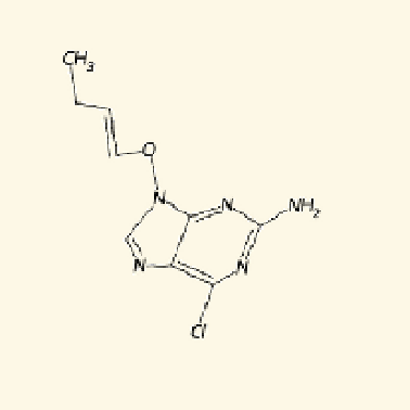 CCC=COn1cnc2c(Cl)nc(N)nc21